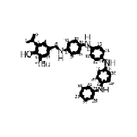 C=C(C)c1cc(CNc2ccc(Nc3ccc(Nc4ccc(Nc5ccccc5)cc4)cc3)cc2)cc(C(C)(C)C)c1O